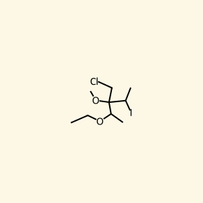 CCOC(C)C(CCl)(OC)C(C)I